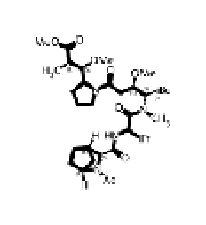 CC[C@H](C)[C@@H]([C@@H](CC(=O)N1CCCC1[C@H](OC)[C@@H](C)C(=O)OC)OC)N(C)C(=O)C(NC(=O)[C@@H]1[C@H]2CC[C@H](C2)N1C(C)=O)C(C)C